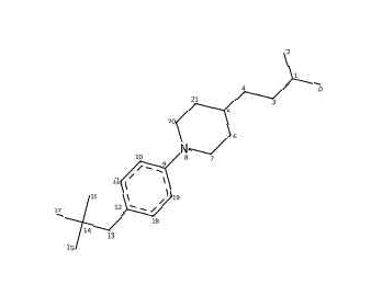 CC(C)CCC1CCN(c2ccc(CC(C)(C)C)cc2)CC1